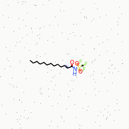 CCCCCCCCCC/C=C/C(=O)NS(=O)(=O)C(F)(F)F